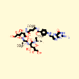 C[C@H](CC(=O)O)NC(=O)[C@@H](NC(=O)[C@H](CC(=O)O)NC(=O)[C@@H](NC(=O)CC[C@H](NC(=O)c1ccc(NCc2cnc3nc(N)[nH]c(=O)c3n2)cc1)C(=O)O)[C@@H](O)[C@H](O)[C@H](O)CO)[C@@H](O)[C@H](O)[C@H](O)CO